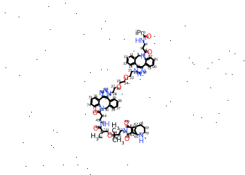 CC(C)C(=O)NCCC(=O)N1Cc2ccccc2-c2c(nnn2CCOCCOCCn2nnc3c2-c2ccccc2CN(C(=O)CCNC(=O)C(C)COC(C)(C)CCN2C(=O)C4=C(C2=O)C2CC4CCCN2)c2ccccc2-3)-c2ccccc21